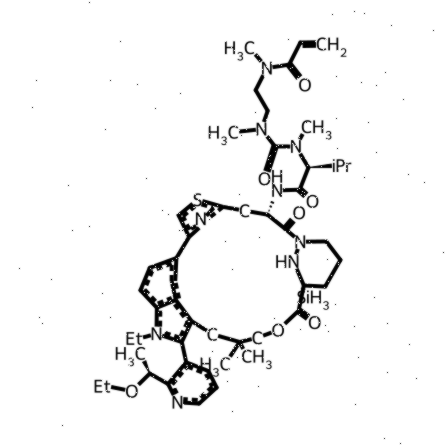 C=CC(=O)N(C)CCN(C)C(=O)N(C)[C@H](C(=O)N[C@H]1Cc2nc(cs2)-c2ccc3c(c2)c(c(-c2cccnc2[C@H](C)OCC)n3CC)CC(C)(C)COC(=O)[C@@]2([SiH3])CCCN(N2)C1=O)C(C)C